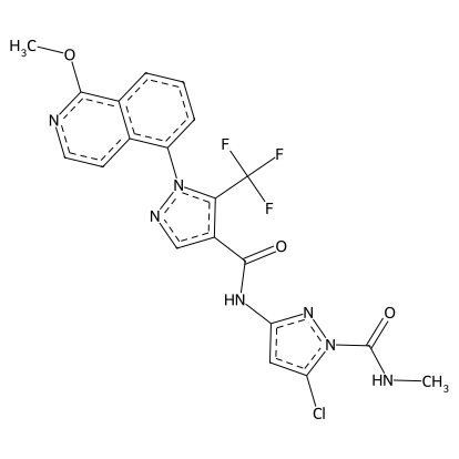 CNC(=O)n1nc(NC(=O)c2cnn(-c3cccc4c(OC)nccc34)c2C(F)(F)F)cc1Cl